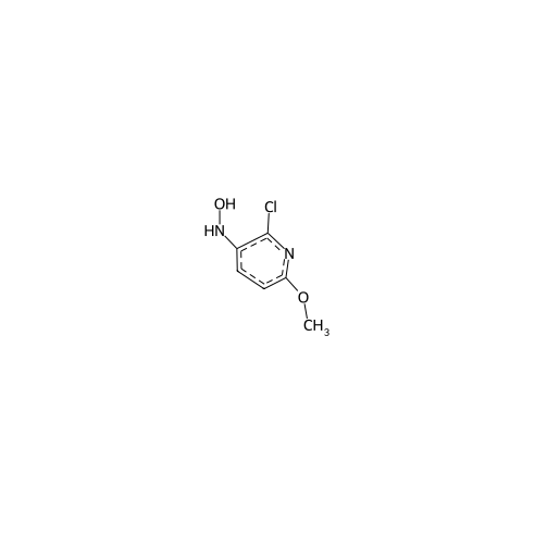 COc1ccc(NO)c(Cl)n1